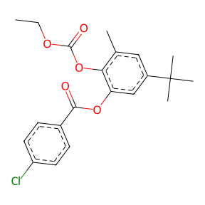 CCOC(=O)Oc1c(C)cc(C(C)(C)C)cc1OC(=O)c1ccc(Cl)cc1